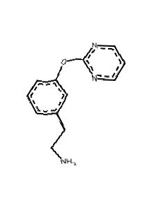 NCCc1cccc(Oc2ncccn2)c1